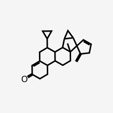 C=C1CC=CC12C1CC1C1C3C(C4CC4)CC4=CC(=O)CCC4C3CCC12C